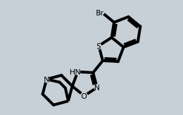 Brc1cccc2cc(C3=NOC4(CN5CCC4CC5)N3)sc12